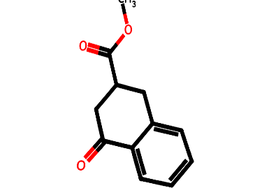 COC(=O)C1CC(=O)c2ccccc2C1